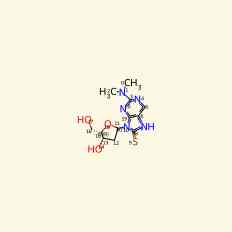 CN(C)c1ncc2[nH]c(=S)n([C@H]3C[C@@H](O)[C@H](CO)O3)c2n1